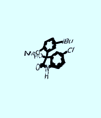 CCC(C)c1ccc(OC)c(C2(O)C(=O)Nc3ccc(Cl)cc32)c1